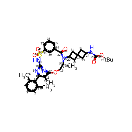 Cc1cccc(C)c1-c1nc2nc(c1C)OC[C@@H](C)N(C1CC3(CC(NC(=O)OC(C)(C)C)C3)C1)C(=O)c1cccc(c1)S(=O)(=O)N2